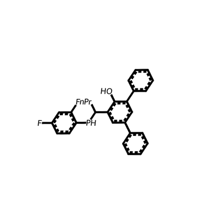 CCCC(Pc1ccc(F)cc1F)c1cc(-c2ccccc2)cc(-c2ccccc2)c1O